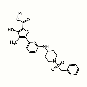 Cc1c(-c2cccc(NC3CCN(S(=O)(=O)Cc4ccccc4)CC3)c2)sc(C(=O)OC(C)C)c1O